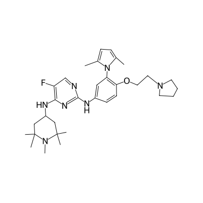 Cc1ccc(C)n1-c1cc(Nc2ncc(F)c(NC3CC(C)(C)N(C)C(C)(C)C3)n2)ccc1OCCN1CCCC1